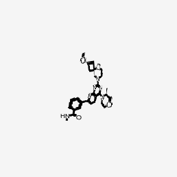 CNC(=O)c1cccc(-c2ccc3c(N4CCOC[C@@H]4C)nc(N4CCO[C@]5(C4)C[C@@H](OC)C5)nc3n2)c1